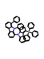 c1ccc(-c2cccc3c4cccc(-n5c6ccccc6c6c([Si](c7ccccc7)(c7ccccc7)c7ccccc7)cccc65)c4n(-c4ccccc4)c23)cc1